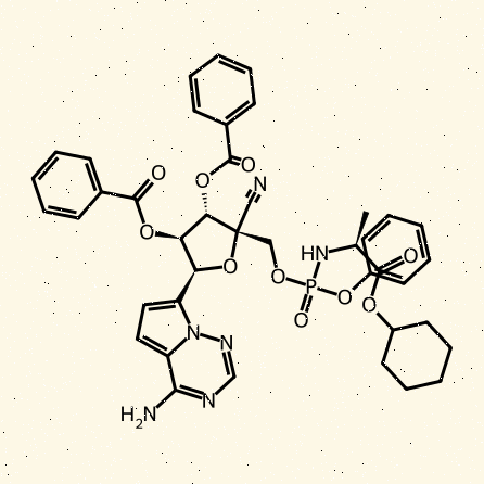 C[C@H](NP(=O)(OC[C@@]1(C#N)O[C@@H](c2ccc3c(N)ncnn23)[C@@H](OC(=O)c2ccccc2)[C@@H]1OC(=O)c1ccccc1)Oc1ccccc1)C(=O)OC1CCCCC1